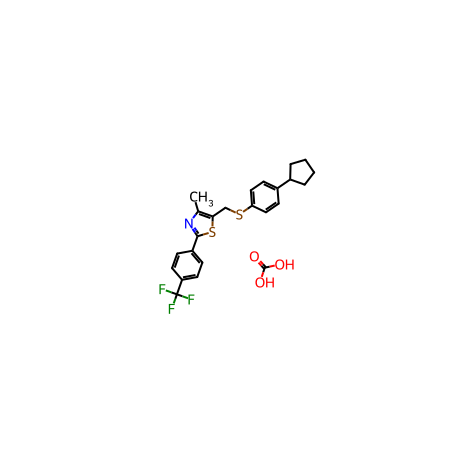 Cc1nc(-c2ccc(C(F)(F)F)cc2)sc1CSc1ccc(C2CCCC2)cc1.O=C(O)O